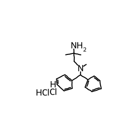 CN(CC(C)(C)N)C(c1ccccc1)c1ccccc1.Cl.Cl